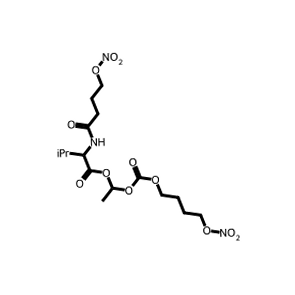 CC(OC(=O)OCCCCO[N+](=O)[O-])OC(=O)C(NC(=O)CCCO[N+](=O)[O-])C(C)C